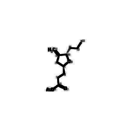 C=C1C[C@H](CCC(=O)OC(C)=O)O[C@H]1CCI